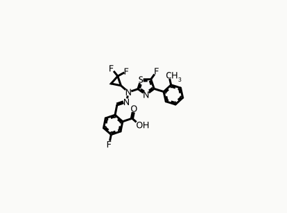 Cc1ccccc1-c1nc(N(/N=C/c2ccc(F)cc2C(=O)O)C2CC2(F)F)sc1F